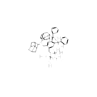 CC(C)(c1ccccc1)c1cc(CP(C2C3CC4CC(C3)CC2C4)C2C3CC4CC(C3)CC2C4)c(CP(C(C)(C)C)C(C)(C)C)cc1C(C)(C)c1ccccc1